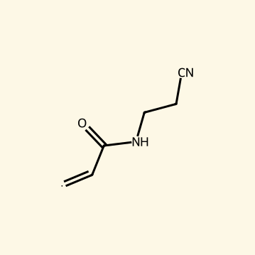 [CH]=CC(=O)NCCC#N